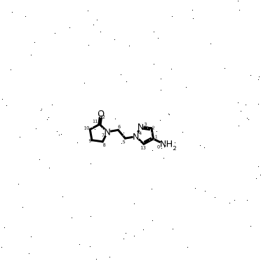 Nc1cnn(CCN2CCCC2=O)c1